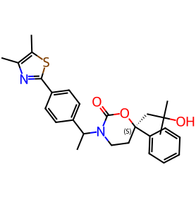 Cc1nc(-c2ccc(C(C)N3CC[C@](CC(C)(C)O)(c4ccccc4)OC3=O)cc2)sc1C